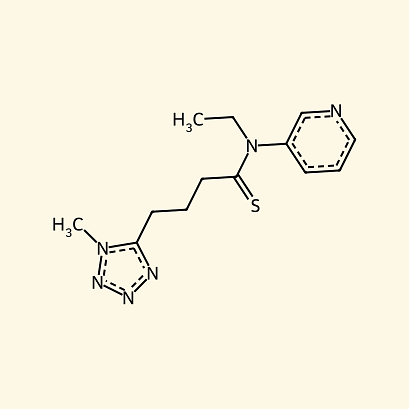 CCN(C(=S)CCCc1nnnn1C)c1cccnc1